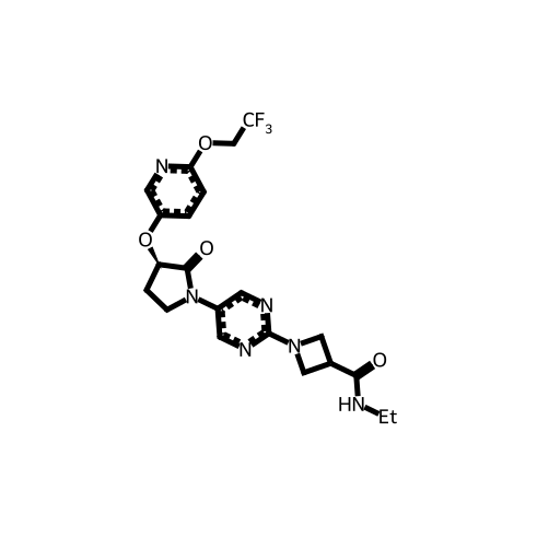 CCNC(=O)C1CN(c2ncc(N3CC[C@@H](Oc4ccc(OCC(F)(F)F)nc4)C3=O)cn2)C1